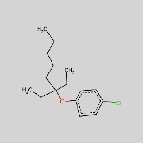 [CH2]CCCCC(CC)(CC)Oc1ccc(Cl)cc1